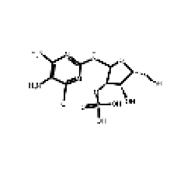 Nc1nc(NC2O[C@H](CO)[C@@H](O)[C@H]2OP(=O)(O)O)nc(O)c1N